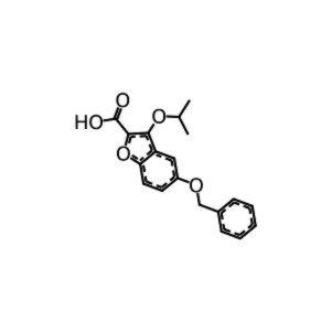 CC(C)Oc1c(C(=O)O)oc2ccc(OCc3ccccc3)cc12